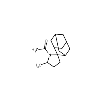 CC(=O)N1C(C)CCC12C1CC3CC(C1)CC2C3